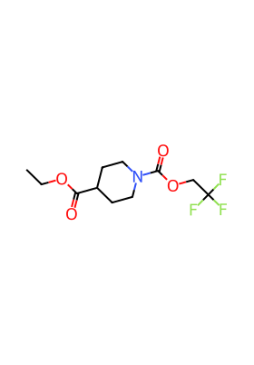 CCOC(=O)C1CCN(C(=O)OCC(F)(F)F)CC1